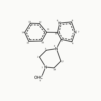 O=CN1CCN(c2cncnc2-c2ccccc2)CC1